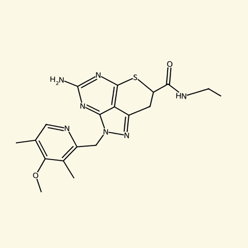 CCNC(=O)C1Cc2nn(Cc3ncc(C)c(OC)c3C)c3nc(N)nc(c23)S1